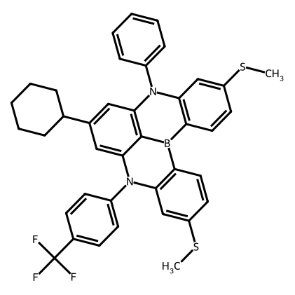 CSc1ccc2c(c1)N(c1ccccc1)c1cc(C3CCCCC3)cc3c1B2c1ccc(SC)cc1N3c1ccc(C(F)(F)F)cc1